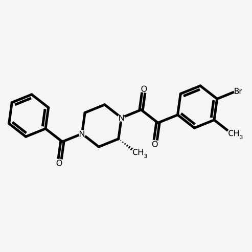 Cc1cc(C(=O)C(=O)N2CCN(C(=O)c3ccccc3)C[C@H]2C)ccc1Br